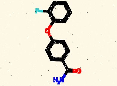 NC(=O)c1ccc(Oc2ccccc2F)cc1